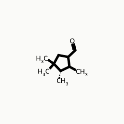 CC1C(C=O)CC(C)(C)[C@H]1C